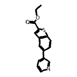 CCOC(=O)c1cc2cc(-c3cccnc3)ccc2s1